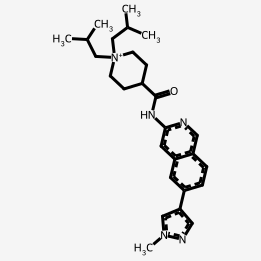 CC(C)C[N+]1(CC(C)C)CCC(C(=O)Nc2cc3cc(-c4cnn(C)c4)ccc3cn2)CC1